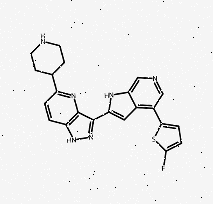 Fc1ccc(-c2cncc3[nH]c(-c4n[nH]c5ccc(C6CCNCC6)nc45)cc23)s1